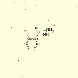 NNC(F)c1ccccc1F